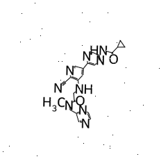 CN(Cc1cnccn1)C(=O)CNc1cc(-c2cnc(NC(=O)C3CC3)cn2)cnc1C#N